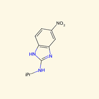 CC(C)Nc1nc2cc([N+](=O)[O-])ccc2[nH]1